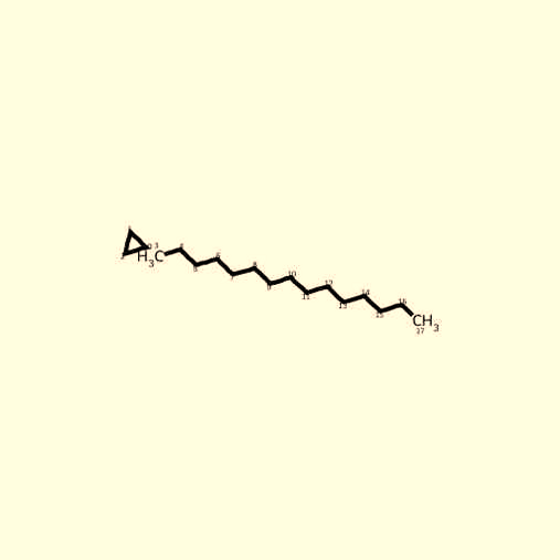 C1CC1.CCCCCCCCCCCCCCC